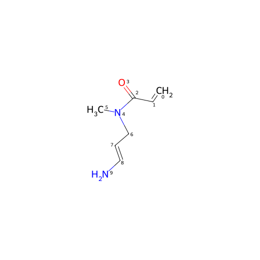 C=CC(=O)N(C)CC=CN